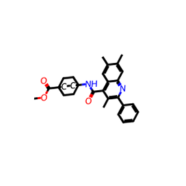 COC(=O)C12CCC(NC(=O)c3c(C)c(-c4ccccc4)nc4cc(C)c(C)cc34)(CC1)CC2